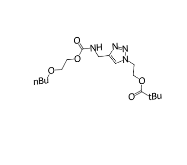 CCCCOCCOC(=O)NCc1cn(CCOC(=O)C(C)(C)C)nn1